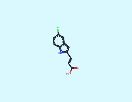 O=C(O)/C=C/c1cc2cc(Cl)ccc2[nH]1